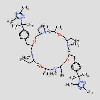 Cc1nc(C)n(C(C)(C)c2ccc(CC3CN(C)C(CC(C)C)COC(C)CN(C)C(CC(C)C)COC(Cc4ccc(C(C)(C)n5nc(C)nc5C)cc4)CN(C)C(CC(C)C)COC(C)CN(C)C(CC(C)C)CO3)cc2)n1